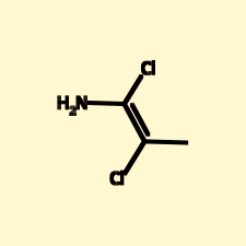 CC(Cl)=C(N)Cl